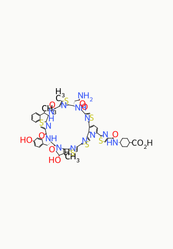 Cc1sc2nc1C(=O)N[C@@H]([C@H](C)c1ccccc1)c1nc(cs1)C(=O)N[C@@H](Cc1ccc(O)cc1)C(=O)N1C[C@H](O)[C@H](C)[C@H]1c1nc(cs1)-c1nc(cs1)-c1nc(-c3nc(C(=O)N[C@H]4CC[C@H](C(=O)O)CC4)cs3)ccc1-c1nc(cs1)C(=O)N[C@H]2CC(N)=O